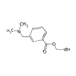 CN(C)Cc1cccc(C(=O)OCC(C)(C)C)c1